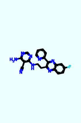 N#Cc1c(N)ncnc1NCCc1nc2ccc(F)cc2nc1-c1ccccn1